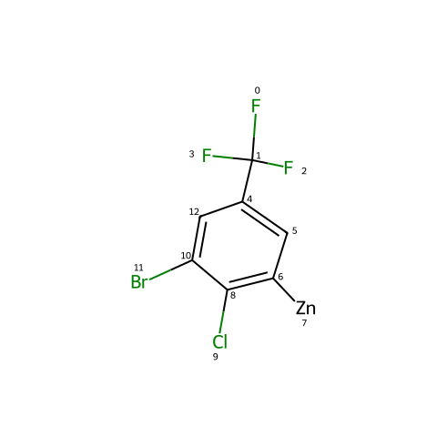 FC(F)(F)c1c[c]([Zn])c(Cl)c(Br)c1